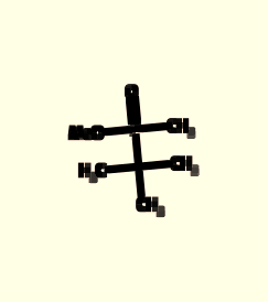 COP(C)(=O)C(C)(C)C